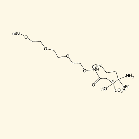 CCCCCCCCCCCCC(N)(CCC)[C@@](O)(CC(=O)NOCCOCCOCCOCCCC)C(=O)O